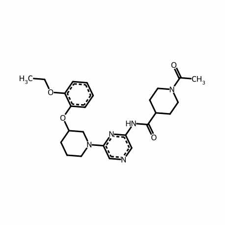 CCOc1ccccc1OC1CCCN(c2cncc(NC(=O)C3CCN(C(C)=O)CC3)n2)C1